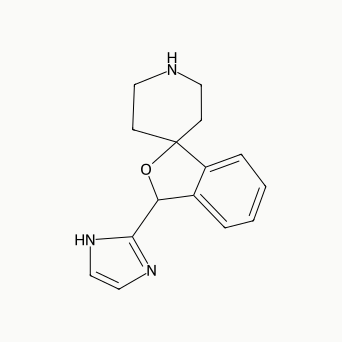 c1ccc2c(c1)C(c1ncc[nH]1)OC21CCNCC1